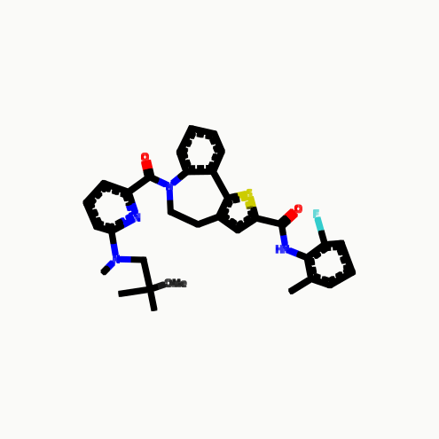 COC(C)(C)CN(C)c1cccc(C(=O)N2CCc3cc(C(=O)Nc4c(C)cccc4F)sc3-c3ccccc32)n1